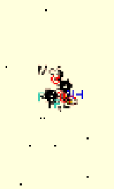 CSCC(=O)c1ccc(NS(C)(=O)=O)c(Oc2ccc(F)cc2F)c1